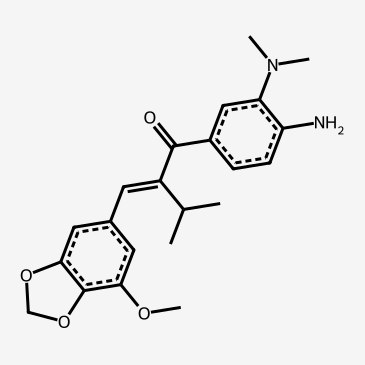 COc1cc(/C=C(/C(=O)c2ccc(N)c(N(C)C)c2)C(C)C)cc2c1OCO2